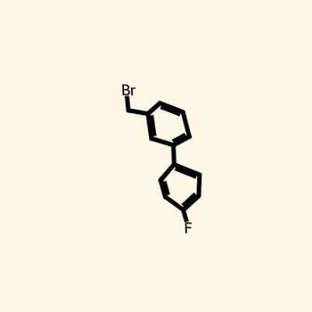 Fc1ccc(-c2cccc(CBr)c2)cc1